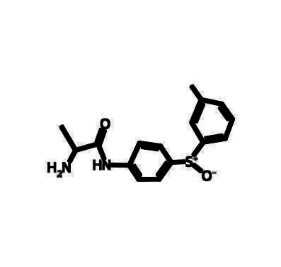 Cc1cccc([S+]([O-])c2ccc(NC(=O)C(C)N)cc2)c1